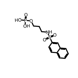 O=P(O)(O)OCCCNS(=O)(=O)c1ccc2ccccc2c1